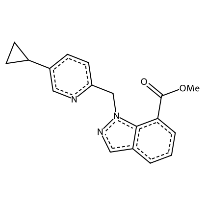 COC(=O)c1cccc2cnn(Cc3ccc(C4CC4)cn3)c12